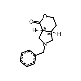 O=C1OCC[C@H]2CN(Cc3ccccc3)C[C@@H]12